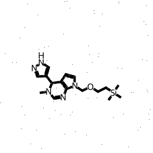 CN1C=Nc2c(ccn2COCC[Si](C)(C)C)C1c1cn[nH]c1